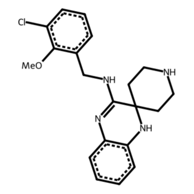 COc1c(Cl)cccc1CNC1=Nc2ccccc2NC12CCNCC2